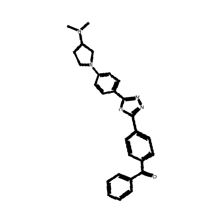 CN(C)C1CCN(c2ccc(-c3nnc(-c4ccc(C(=O)c5ccccc5)cc4)o3)cc2)C1